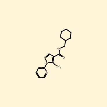 Cc1c(C(=O)NCC2CCCCC2)cnn1-c1ccccn1